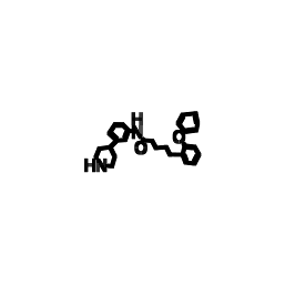 O=C(CCCCc1ccccc1Oc1ccccc1)Nc1cccc(C2CCNCC2)c1